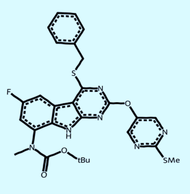 CSc1ncc(Oc2nc(SCc3ccccc3)c3c(n2)[nH]c2c(N(C)C(=O)OC(C)(C)C)cc(F)cc23)cn1